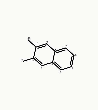 Cc1[c]c2ccccc2[c]c1C